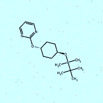 CC(C)(C)[Si](C)(C)O[C@H]1CC[C@H](Oc2ncccn2)CC1